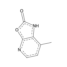 Cc1ccnc2oc(=O)[nH]c12